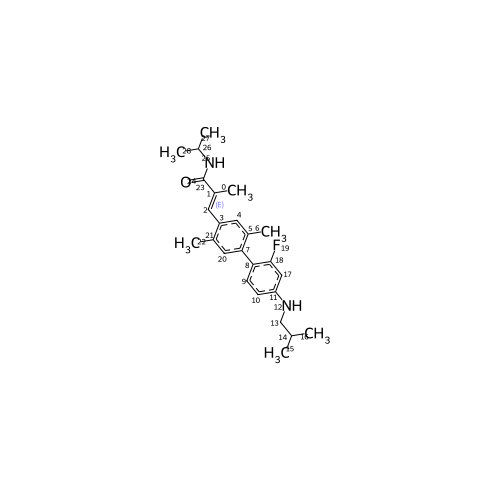 C/C(=C\c1cc(C)c(-c2ccc(NCC(C)C)cc2F)cc1C)C(=O)NC(C)C